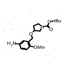 COc1ccc(N)cc1COC1CCN(C(=O)OC(C)(C)C)C1